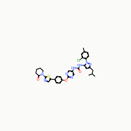 Cc1ccc(-n2nc(CC(C)C)cc2NC(=O)Nc2cnc(Oc3ccc(-c4cnc(N5CCCCC5=O)s4)cc3)nc2)c(Cl)c1